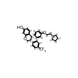 Oc1ccc2c(c1)OC[C@@H](c1ccc(C(F)(F)F)cc1)[C@H]2c1ccc(OCCN2CCCC2)cc1